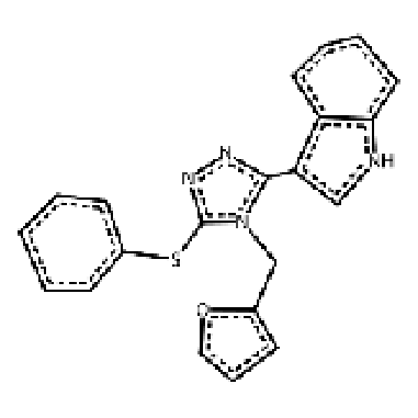 c1ccc(Sc2nnc(-c3c[nH]c4ccccc34)n2Cc2ccco2)cc1